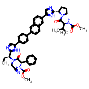 CC[C@@H](c1ncc(-c2ccc(-c3ccc4cc(-c5cnc([C@@H]6CCCN6C(=O)[C@@H](NC(=O)OC)C(C)C)[nH]5)ccc4c3)cc2)[nH]1)N(CC#N)C(=O)[C@H](NC(=O)OC)c1ccccc1